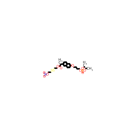 CCOP(=O)(OCC)OCCCCOc1ccc2cc(C(C)C(=O)OCCSSCCO[N+](=O)[O-])ccc2c1